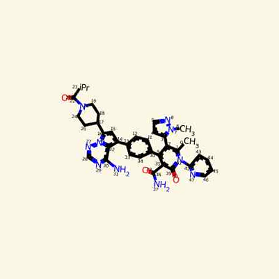 Cc1c(-c2ccnn2C)c(-c2ccc(-c3cc(C4CCN(C(=O)C(C)C)CC4)n4ncnc(N)c34)cc2)c(C(N)=O)c(=O)n1-c1ccccn1